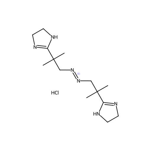 CC(C)(C/N=N/CC(C)(C)C1=NCCN1)C1=NCCN1.Cl